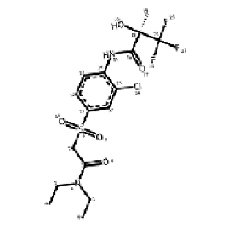 CCN(CC)C(=O)CS(=O)(=O)c1ccc(NC(=O)[C@@](C)(O)C(F)(F)F)c(Cl)c1